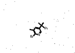 Cc1cc(C(C)(C)C(C)C)cnc1Br